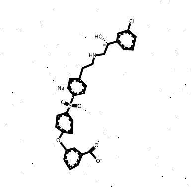 O=C([O-])c1cccc(Oc2ccc(S(=O)(=O)c3ccc(CCNC[C@H](O)c4cccc(Cl)c4)cc3)cc2)c1.[Na+]